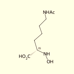 CC(=O)NCCCC[C@H](NO)C(=O)O